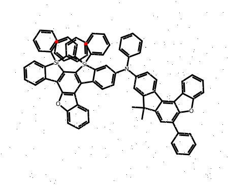 CC1(C)c2cc(N(c3ccccc3)c3ccc4c(c3)[Si](c3ccccc3)(c3ccccc3)c3c5c(c6oc7ccccc7c6c3-4)-c3ccccc3[Si]5(c3ccccc3)c3ccccc3)ccc2-c2c1cc(-c1ccccc1)c1oc3ccccc3c21